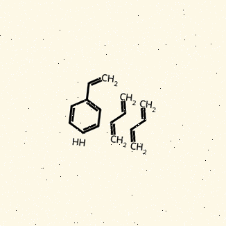 C=CC=C.C=CC=C.C=Cc1ccccc1.[HH]